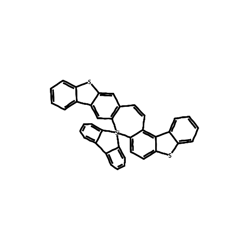 C1=Cc2c(ccc3sc4ccccc4c23)[Si]2(c3cc4c(cc31)sc1ccccc14)c1ccccc1-c1ccccc12